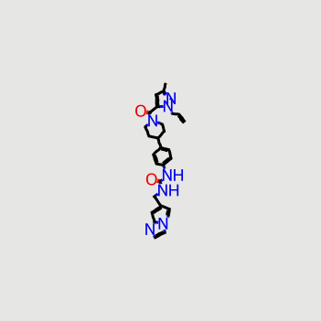 C=CCn1nc(C)cc1C(=O)N1CCC(c2ccc(NC(=O)NCc3ccn4ccnc4c3)cc2)CC1